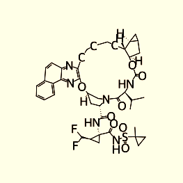 CC(C)[C@@H]1NC(=O)O[C@@H]2CC3C[C@@H]3[C@H]2CCCCCc2nc3ccc4ccccc4c3nc2O[C@@H]2C[C@@H](C(=O)N[C@]3(C(=O)NS(=O)(=O)C4(C)CC4)C[C@H]3C(F)F)N(C2)C1=O